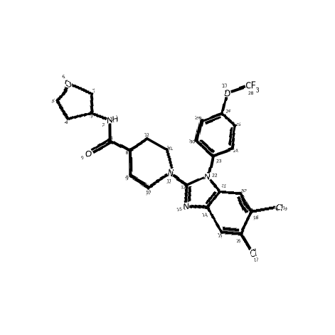 O=C(NC1CCOC1)C1CCN(c2nc3cc(Cl)c(Cl)cc3n2-c2ccc(OC(F)(F)F)cc2)CC1